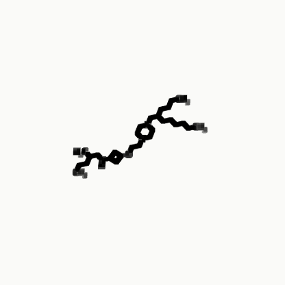 CCCCCCC(CCCC)CN1CCN(CCO[C@H]2C[C@H](NCC(C)CCC)C2)CC1